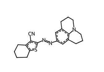 N#Cc1c(N=Nc2cc3c4c(c2)CCCN4CCC3)sc2c1CCCC2